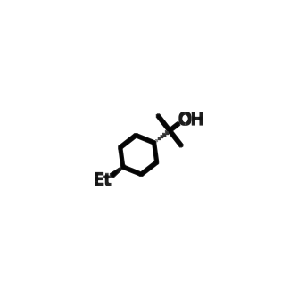 CC[C@H]1CC[C@H](C(C)(C)O)CC1